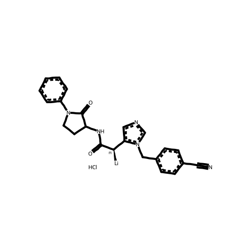 Cl.[Li][C@@H](C(=O)NC1CCN(c2ccccc2)C1=O)c1cncn1Cc1ccc(C#N)cc1